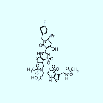 CC(C)C1CC(O)=C(C2=NS(=O)(=O)c3c(CN(C(C(=O)O)C4=NS(=O)(=O)c5c(CNS(C)(=O)=O)csc5N4)S(C)(=O)=O)csc3N2)C(=O)N1Cc1ccc(F)cc1